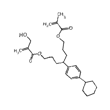 C=C(C)C(=O)OCCCC(CCCOC(=O)C(=C)CO)c1ccc(C2CCCCC2)cc1